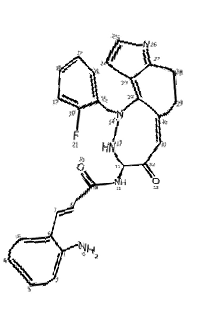 Nc1ccccc1C=CC(=O)N[C@H]1NN(c2ccccc2F)C2=C3C=CN=C3CCC2=CC1=O